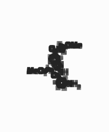 COCCCn1c(NC(=O)c2cccc(N)c2)nc2cc(C(=O)N3CC(OC)C3)cnc21